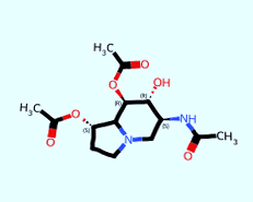 CC(=O)N[C@H]1CN2CC[C@H](OC(C)=O)C2[C@@H](OC(C)=O)[C@@H]1O